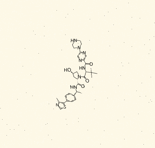 Cc1ncsc1-c1ccc(C(C)NC(=O)[C@@H]2C[C@@H](O)CN2C(=O)C(NC(=O)c2cnc(N3CCNCC3)cn2)C(C)(C)C)cc1